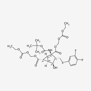 CCOC(=O)OCOC(=O)[C@H]1[C@@H]2[C@H](O)[C@@H](CSc3ccc(F)c(F)c3)[C@@](NC(=O)OC(C)(C)C)(C(=O)OCOC(=O)OCC)[C@H]12